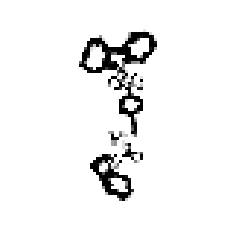 O=C(NCc1ccc(S(=O)(=O)n2c3ccccc3c3ccccc32)cc1)n1ccc2ccccc21